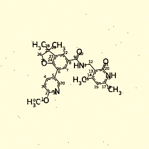 COc1ccc(-c2cc(C(=O)NCc3c(C)cc(C)[nH]c3=O)cc3c2OCC3(C)C)cn1